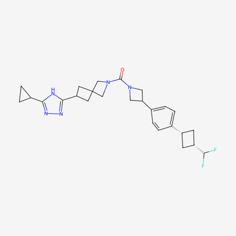 O=C(N1CC(c2ccc([C@H]3C[C@@H](C(F)F)C3)cc2)C1)N1CC2(CC(c3nnc(C4CC4)[nH]3)C2)C1